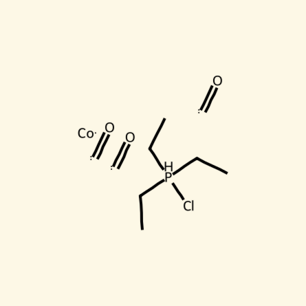 CC[PH](Cl)(CC)CC.[C]=O.[C]=O.[C]=O.[Co]